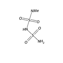 CNS(=O)(=O)NS(N)(=O)=O